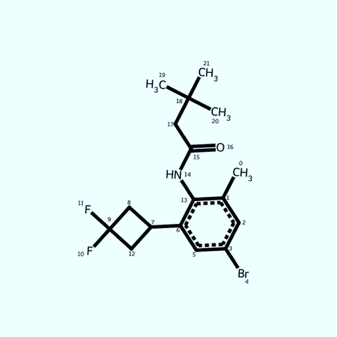 Cc1cc(Br)cc(C2CC(F)(F)C2)c1NC(=O)CC(C)(C)C